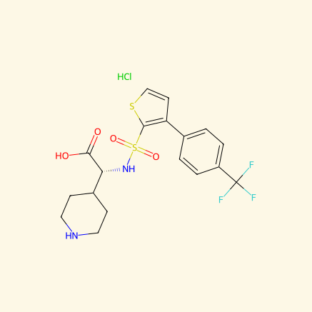 Cl.O=C(O)[C@H](NS(=O)(=O)c1sccc1-c1ccc(C(F)(F)F)cc1)C1CCNCC1